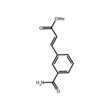 COC(=O)C=Cc1cccc(C(N)=O)c1